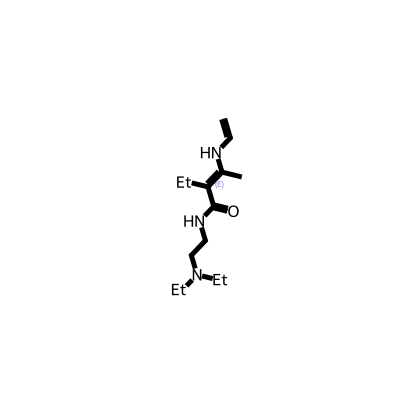 C=CN/C(C)=C(\CC)C(=O)NCCN(CC)CC